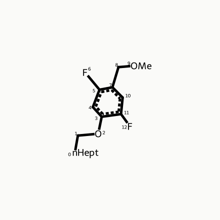 CCCCCCCCOc1cc(F)c(COC)cc1F